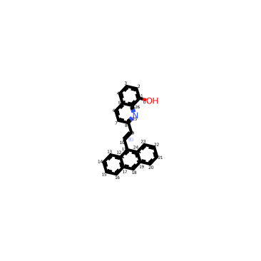 Oc1cccc2ccc(/C=C/c3c4ccccc4cc4ccccc34)nc12